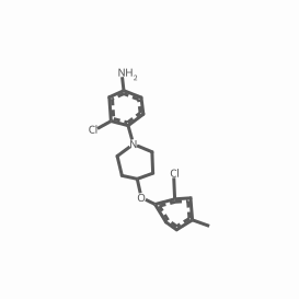 Cc1ccc(OC2CCN(c3ccc(N)cc3Cl)CC2)c(Cl)c1